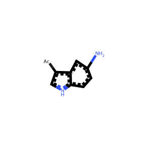 CC(=O)c1c[nH]c2ccc(N)cc12